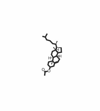 CC(=O)OC1CC[C@@]2(C)C(=CC[C@H]3[C@@H]4CC[C@H]([C@H](C)CCCC(C)C)[C@@]4(C)CC[C@@H]32)C1